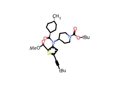 COC(=O)c1sc(C#CC(C)(C)C)cc1N(C(=O)[C@H]1CC[C@H](C)CC1)C1CCN(C(=O)OC(C)(C)C)CC1